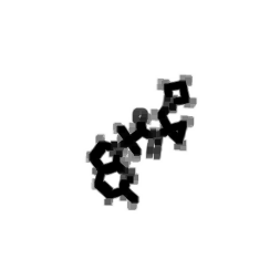 Cc1ccc2ccn(C(C)(C)C(=O)NC3(CN4CCC4)CC3)c2n1